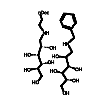 CCCCCCCCCCCCNC[C@H](O)[C@@H](O)[C@H](O)[C@H](O)CO.OC[C@@H](O)[C@@H](O)[C@H](O)[C@@H](O)CNCc1ccccc1